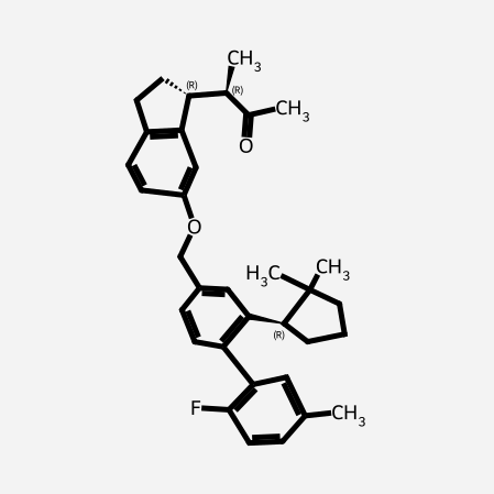 CC(=O)[C@H](C)[C@H]1CCc2ccc(OCc3ccc(-c4cc(C)ccc4F)c([C@@H]4CCCC4(C)C)c3)cc21